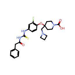 O=C(Cc1ccccc1)NC(=S)Nc1ccc(OC2(CN3CCC3)CCN(C(=O)O)CC2)c(F)c1